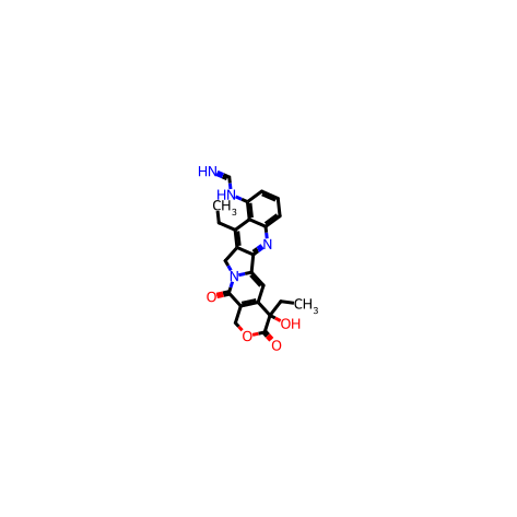 CCc1c2c(nc3cccc(NC=N)c13)-c1cc3c(c(=O)n1C2)COC(=O)C3(O)CC